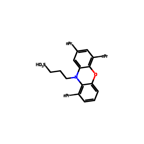 CCCc1cc(CCC)c2c(c1)N(CCCS(=O)(=O)O)c1c(CCC)cccc1O2